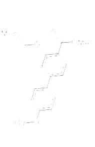 CCCOc1ccc(-c2ccc(C(=O)OC)c(OCOC)c2)cc1